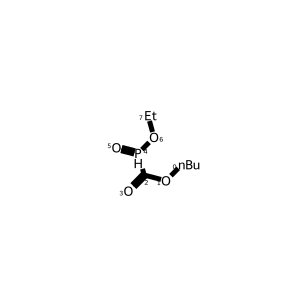 CCCCOC(=O)[PH](=O)OCC